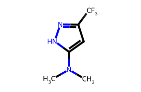 CN(C)c1cc(C(F)(F)F)n[nH]1